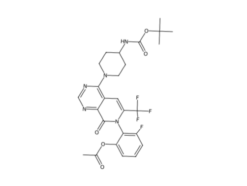 CC(=O)Oc1cccc(F)c1-n1c(C(F)(F)F)cc2c(N3CCC(NC(=O)OC(C)(C)C)CC3)ncnc2c1=O